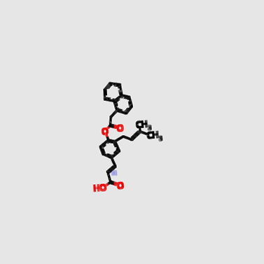 CC(C)=CCc1cc(/C=C/C(=O)O)ccc1OC(=O)Cc1cccc2ccccc12